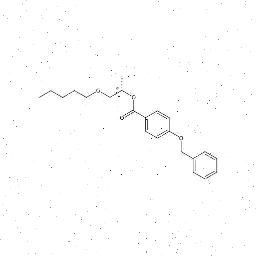 CCCCCOC[C@H](C)OC(=O)c1ccc(OCc2ccccc2)cc1